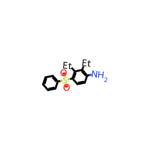 CCc1c(N)ccc(S(=O)(=O)c2ccccc2)c1CC